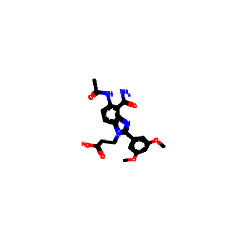 COc1cc(OC)cc(-c2nc3c(C(N)=O)c(NC(C)=O)ccc3n2CCC(=O)O)c1